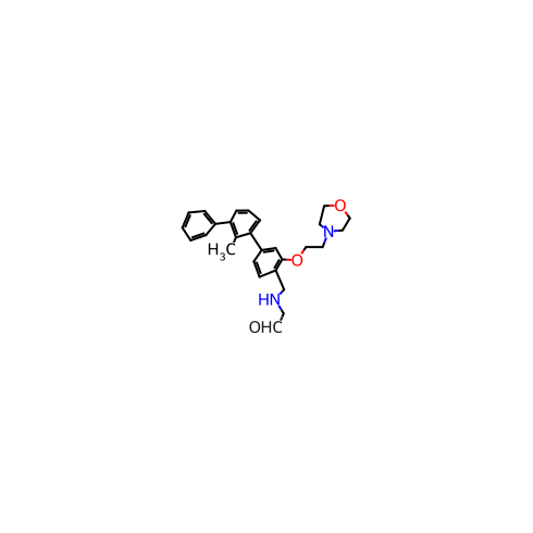 Cc1c(-c2ccccc2)cccc1-c1ccc(CNCC=O)c(OCCN2CCOCC2)c1